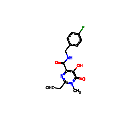 Cn1c(CC=O)nc(C(=O)NCc2ccc(F)cc2)c(O)c1=O